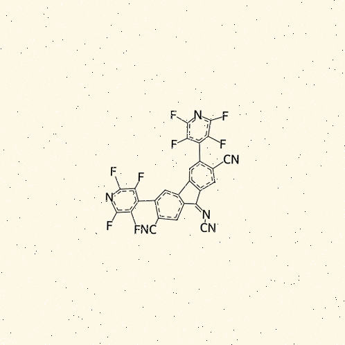 N#CN=C1c2cc(C#N)c(-c3c(F)c(F)nc(F)c3F)cc2-c2cc(-c3c(F)c(F)nc(F)c3F)c(C#N)cc21